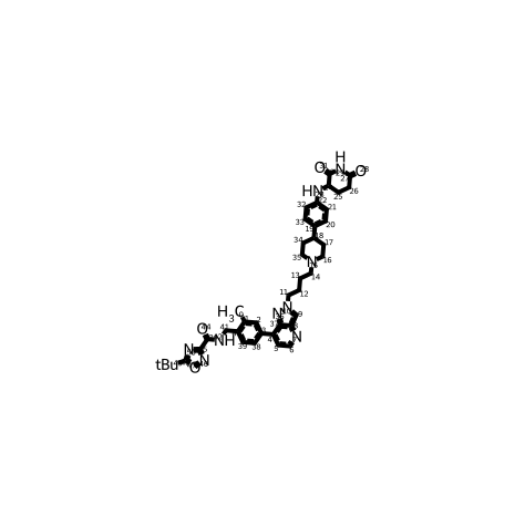 Cc1cc(-c2ccnc3cn(CCCCN4CCC(c5ccc(NC6CCC(=O)NC6=O)cc5)CC4)nc23)ccc1CNC(=O)c1noc(C(C)(C)C)n1